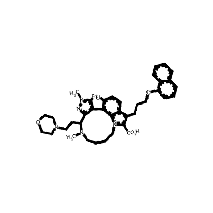 CCc1c2c(nn1C)C(CCN1CCOCC1)N(C)CCCCn1c(C(=O)O)c(CCCOc3cccc4ccccc34)c3ccc(Cl)c-2c31